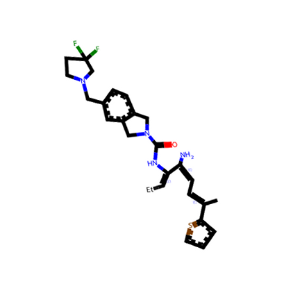 CC/C=C(NC(=O)N1Cc2ccc(CN3CCC(F)(F)C3)cc2C1)/C(N)=C\C=C(/C)c1cccs1